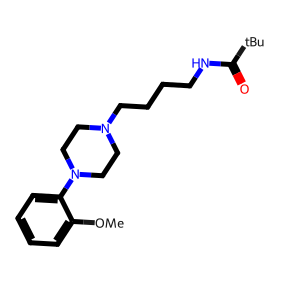 COc1ccccc1N1CCN(CCCCNC(=O)C(C)(C)C)CC1